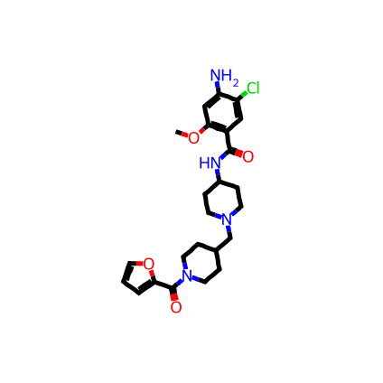 COc1cc(N)c(Cl)cc1C(=O)NC1CCN(CC2CCN(C(=O)c3ccco3)CC2)CC1